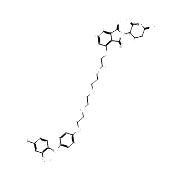 O=C1CCC(N2C(=O)c3cccc(OCCOCCOCCOCCOc4ccc(Oc5ccc(Cl)cc5[N+](=O)[O-])cc4)c3C2=O)C(=O)N1